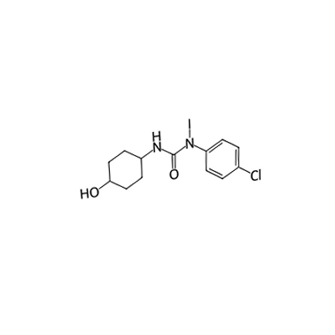 O=C(NC1CCC(O)CC1)N(I)c1ccc(Cl)cc1